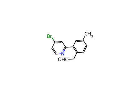 Cc1ccc(CC=O)c(-c2cc(Br)ccn2)c1